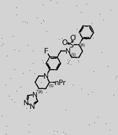 CCC[C@H]1C[C@H](n2cnnc2)CCN1c1ccc(CN2[C@@H](C)CC[C@H](c3ccccc3)S2(=O)=O)c(F)c1